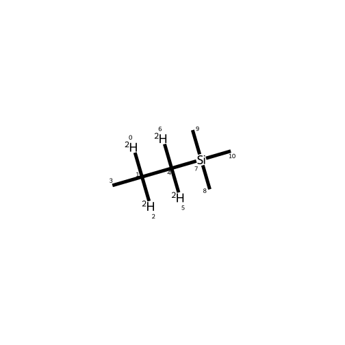 [2H]C([2H])(C)C([2H])([2H])[Si](C)(C)C